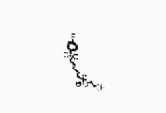 C#CCOS(=O)(=O)CCCCCS(=O)(=O)c1ccc(F)cc1